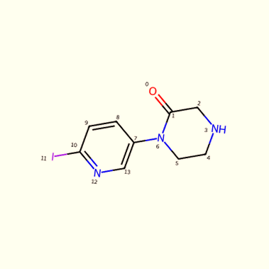 O=C1CNCCN1c1ccc(I)nc1